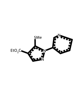 CCOC(=O)c1cnn(-c2cccnc2)c1SC